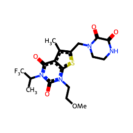 COCCn1c(=O)n(C(C)C(F)(F)F)c(=O)c2c(C)c(CN3CCNC(=O)C3=O)sc21